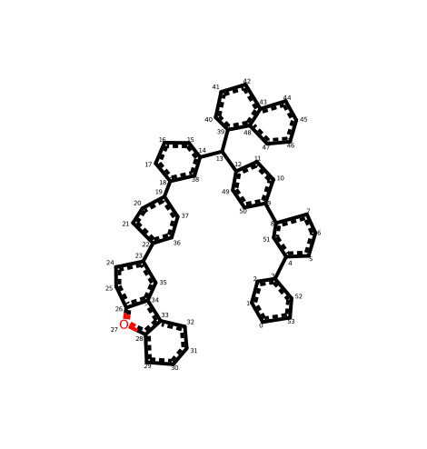 c1ccc(-c2cccc(-c3ccc(C(c4cccc(-c5ccc(-c6ccc7oc8ccccc8c7c6)cc5)c4)c4cccc5ccccc45)cc3)c2)cc1